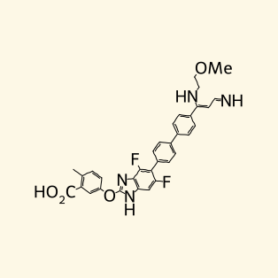 COCCN/C(=C\C=N)c1ccc(-c2ccc(-c3c(F)cc4[nH]c(Oc5ccc(C)c(C(=O)O)c5)nc4c3F)cc2)cc1